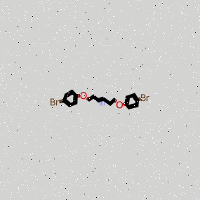 Brc1ccc(OCC/C=C/CCOc2ccc(Br)cc2)cc1